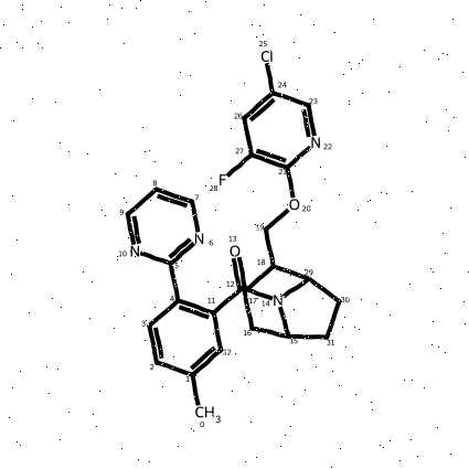 Cc1ccc(-c2ncccn2)c(C(=O)N2C3CCC(COc4ncc(Cl)cc4F)C2CC3)c1